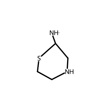 [NH]C1CNCCS1